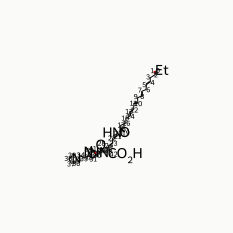 CCC=CCC=CCC=CCC=CCC=CCCCC(=O)NCCCCC(NC(=O)c1ccc(CCN2CCCC2)nc1)C(=O)O